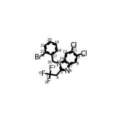 FC(F)(F)Cc1nc2cc(Cl)c(Cl)cc2n1Cc1ccccc1Br